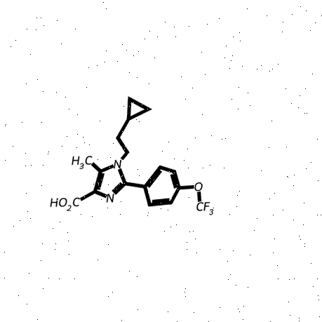 Cc1c(C(=O)O)nc(-c2ccc(OC(F)(F)F)cc2)n1CCC1CC1